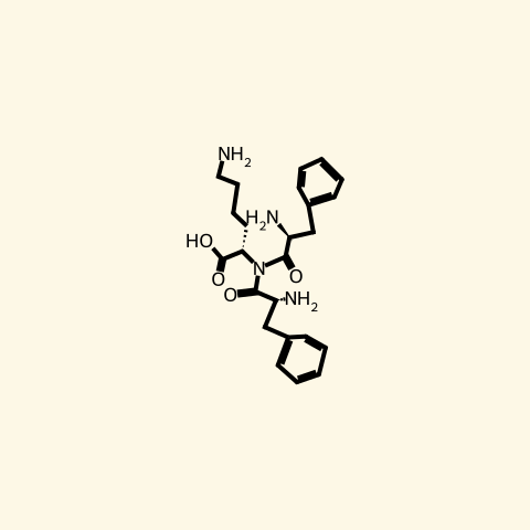 NCCCC[C@@H](C(=O)O)N(C(=O)[C@H](N)Cc1ccccc1)C(=O)[C@@H](N)Cc1ccccc1